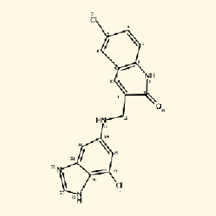 O=c1[nH]c2ccc(Cl)cc2cc1CNc1cc(Cl)c2[nH]cnc2c1